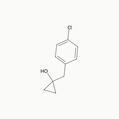 OC1(Cc2ccc(Cl)cc2)CC1